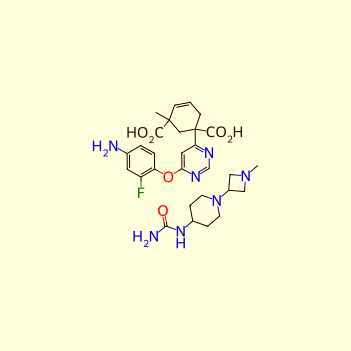 CC1(C(=O)O)C=CCC(C(=O)O)(c2cc(Oc3ccc(N)cc3F)ncn2)C1.CN1CC(N2CCC(NC(N)=O)CC2)C1